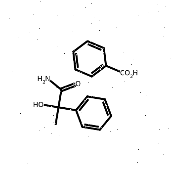 CC(O)(C(N)=O)c1ccccc1.O=C(O)c1ccccc1